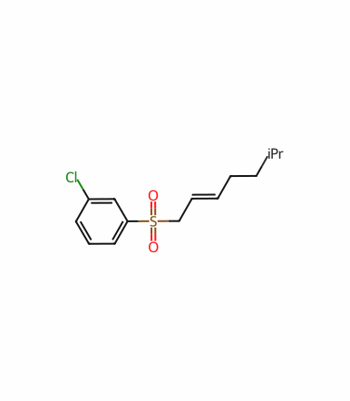 CC(C)CCC=CCS(=O)(=O)c1cccc(Cl)c1